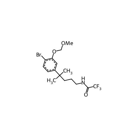 COCOc1cc(C(C)(C)CCCNC(=O)C(F)(F)F)ccc1Br